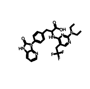 CCN(CC)c1ncc(CC(F)(F)F)c(NC(Cc2ccc(-n3c(=O)[nH]c4cccnc43)cc2)C(=O)O)n1